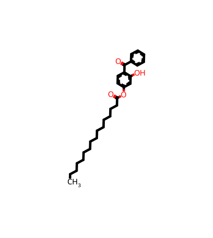 CCCCCCCCCCCCCCCC(=O)Oc1ccc(C(=O)c2ccccc2)c(O)c1